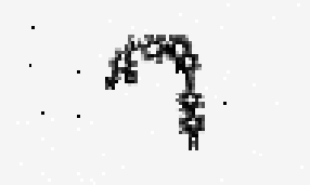 N#Cc1ccc(C2C[C@@H]2[C@H]2CC[C@H](N3CCCc4ccc(C#CC5CCN(C6CCNCC6)CC5)nc4C3)CC2)cc1Cl